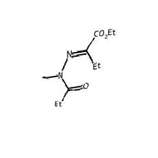 CCOC(=O)/C(CC)=N/N(C)C(=O)CC